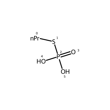 CCCSP(=O)(O)O